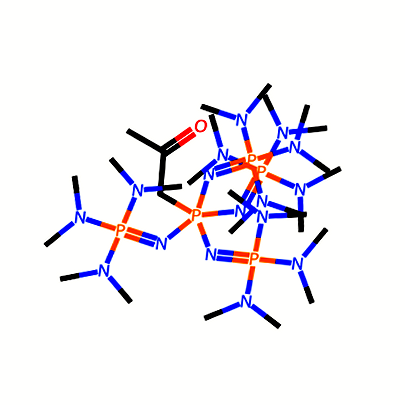 CC(=O)CP(N=P(N(C)C)(N(C)C)N(C)C)(N=P(N(C)C)(N(C)C)N(C)C)(N=P(N(C)C)(N(C)C)N(C)C)N=P(N(C)C)(N(C)C)N(C)C